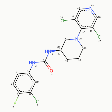 O=C(Nc1ccc(F)c(Cl)c1)N[C@@H]1CCCN(c2c(Cl)cncc2Cl)C1